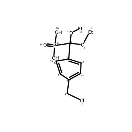 CCOC(OCC)(c1ccc(CCl)cc1)P(=O)(O)O